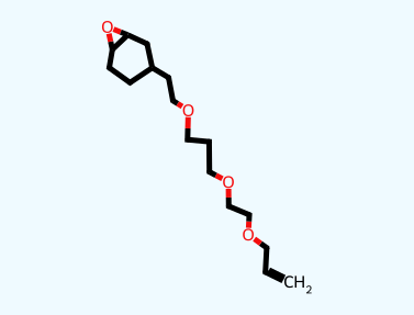 C=CCOCCOCCCOCCC1CCC2OC2C1